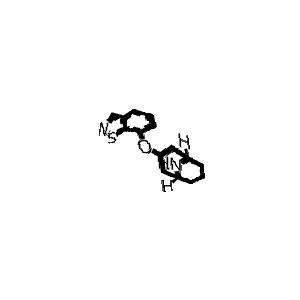 c1cc(OC2C[C@H]3CCC[C@@H](C2)N3)c2sncc2c1